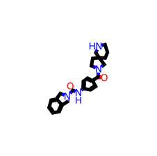 O=C(Nc1ccc(C(=O)N2CCC3(CCCNC3)C2)cc1)N1Cc2ccccc2C1